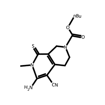 CCCCOC(=O)N1CCc2c(C#N)c(N)n(C)c(=S)c2C1